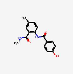 CNC(=O)c1cc(C)ccc1NC(=O)c1ccc(O)cc1